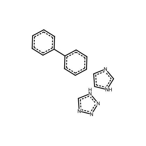 c1c[nH]cn1.c1ccc(-c2ccccc2)cc1.c1nnn[nH]1